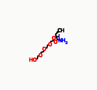 C#CCC(I)(OCCOCCOCCOCCO)C(N)=O